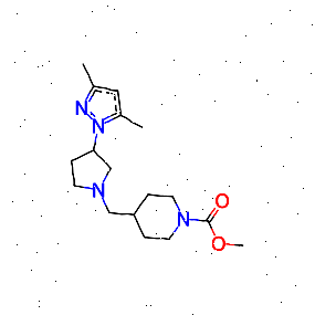 COC(=O)N1CCC(CN2CCC(n3nc(C)cc3C)C2)CC1